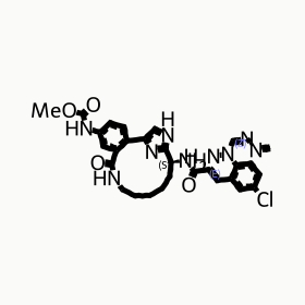 C=N/N=C\N(N)c1ccc(Cl)cc1/C=C/C(=O)N[C@H]1CCCCCNC(=O)c2cc(NC(=O)OC)ccc2-c2c[nH]c1n2